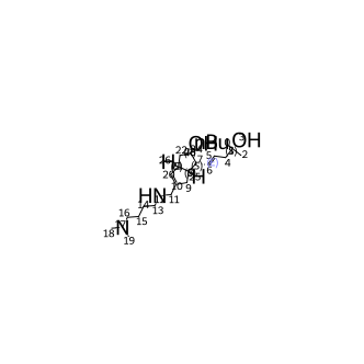 CCCC[C@](C)(O)C/C=C/[C@@H]1[C@H]2CC(CNCCCCN(C)C)=C[C@H]2C[C@H]1O